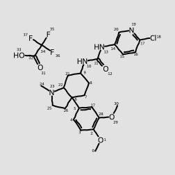 COc1ccc(C23CCC(NC(=O)Nc4ccc(Cl)nc4)CC2N(C)CC3)cc1OC.O=C(O)C(F)(F)F